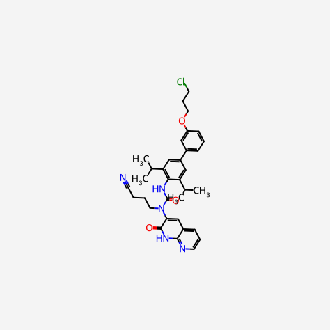 CC(C)c1cc(-c2cccc(OCCCCl)c2)cc(C(C)C)c1NC(=O)N(CCCC#N)c1cc2cccnc2[nH]c1=O